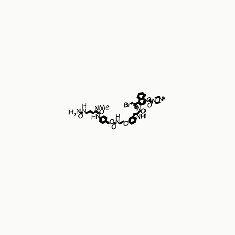 CN[C@@H](CCCNC(N)=O)C(=O)Nc1ccc(COC(=O)NCCOc2ccc3[nH]c(C(=O)N4C[C@@H](CBr)c5c4cc(OC(=O)N4CCN(C)CC4)c4ccccc54)cc3c2)cc1